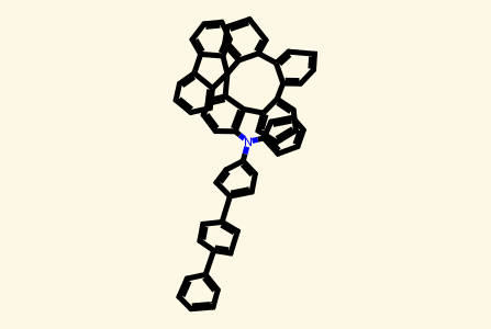 c1ccc(-c2ccc(-c3ccc(N(c4ccccc4)c4cccc5c4-c4ccccc4-c4ccccc4-c4ccccc4C54c5ccccc5-c5ccccc54)cc3)cc2)cc1